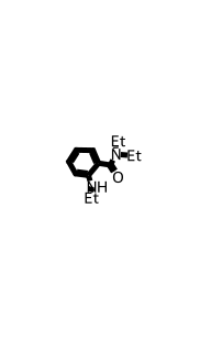 CCNc1ccccc1C(=O)N(CC)CC